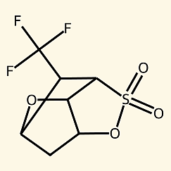 O=S1(=O)OC2CC3OC2C1C3C(F)(F)F